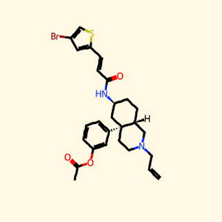 C=CCN1CC[C@@]2(c3cccc(OC(C)=O)c3)C[C@@H](NC(=O)/C=C/c3cc(Br)cs3)CC[C@@H]2C1